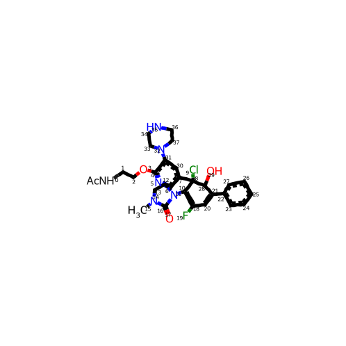 CC(=O)NCCOc1ncc(C2(Cl)C(N3CCN(C)C3=O)=C(F)C=C(c3ccccc3)C2O)cc1N1CCNCC1